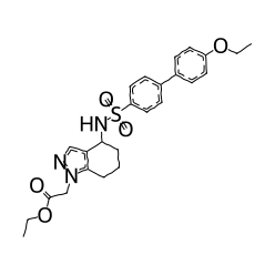 CCOC(=O)Cn1ncc2c1CCCC2NS(=O)(=O)c1ccc(-c2ccc(OCC)cc2)cc1